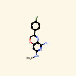 CCOC(=O)Nc1cc2c(c(N)n1)N=C(c1ccc(Cl)cc1)CO2